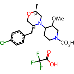 COC1CN(C(=O)O)CCC1N1C[C@H](C)OC[C@@H]1Cc1ccc(Cl)cc1.O=C(O)C(F)(F)F